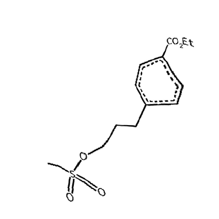 CCOC(=O)c1ccc(CCCOS(C)(=O)=O)cc1